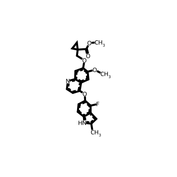 COC(=O)C1(COc2cc3nccc(Oc4ccc5[nH]c(C)cc5c4F)c3cc2OC)CC1